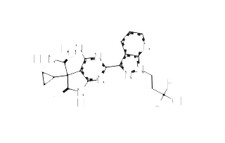 NC(=O)C1(C2CC2)C(=O)Nc2nc(-c3nn(CCC(F)(F)C(F)(F)F)c4ncccc34)nc(N)c21